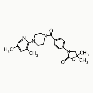 Cc1cnc(N2CCN(C(=O)c3ccc(N4CC(C)(C)OC4=O)cc3)CC2)c(C)c1